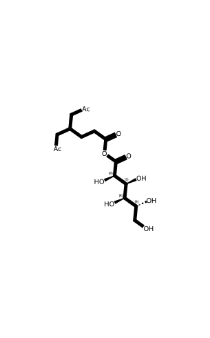 CC(=O)CC(CCC(=O)OC(=O)[C@H](O)[C@@H](O)[C@H](O)[C@H](O)CO)CC(C)=O